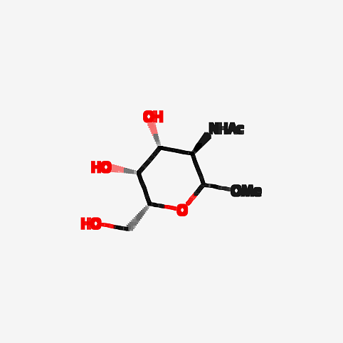 COC1O[C@H](CO)[C@H](O)[C@H](O)[C@H]1NC(C)=O